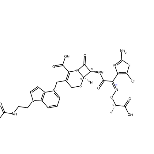 CC(=O)NCCn1ccc2c1ccc[n+]2CC1=C(C(=O)O)N2C(=O)[C@@H](NC(=O)/C(=N\O[C@@H](C)C(=O)O)c3nc(N)sc3Cl)[C@H]2SC1